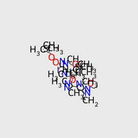 C=Cc1nn(C2CCCCO2)c2c(C)nc(-c3c(C)nn(C)c3O[C@@H](C)CN(C)Cc3c(I)c(OCOCC[Si](C)(C)C)nn3[C@@H](C)CO[Si](C)(C)C(C)(C)C)cc12